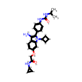 CC(C)NC(=O)Nc1ccc(-c2c(N)c3ccc(OCC(=O)NC4CC4)cc3n2C2CCC2)cc1